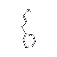 FC(F)(F)C=CSc1ccccc1